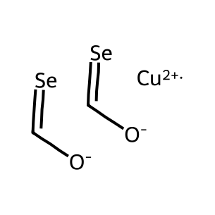 [Cu+2].[O-]C=[Se].[O-]C=[Se]